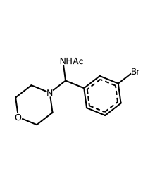 CC(=O)NC(c1cccc(Br)c1)N1CCOCC1